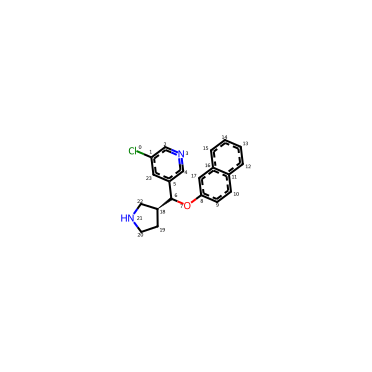 Clc1cncc(C(Oc2ccc3ccccc3c2)[C@H]2CCNC2)c1